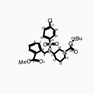 COC(=O)c1ccccc1CN(C1CCCN(C(=O)OC(C)(C)C)C1)S(=O)(=O)c1ccc(Cl)cc1